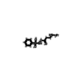 CCCNCCC(=O)ONS(=O)(=O)c1ccccc1